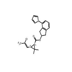 CC1(C)[C@H](C(=O)OC2Cc3cccc(-n4cccc4)c3C2)[C@@H]1C=C(Cl)C(F)(F)F